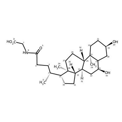 C[C@H](CCC(=O)NCC(=O)O)[C@H]1CC[C@H]2[C@@H]3C[C@H](O)C4C[C@H](O)CC[C@]4(C)[C@H]3CC[C@]12C